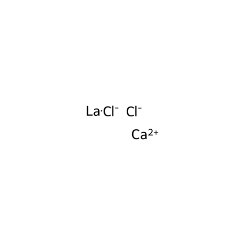 [Ca+2].[Cl-].[Cl-].[La]